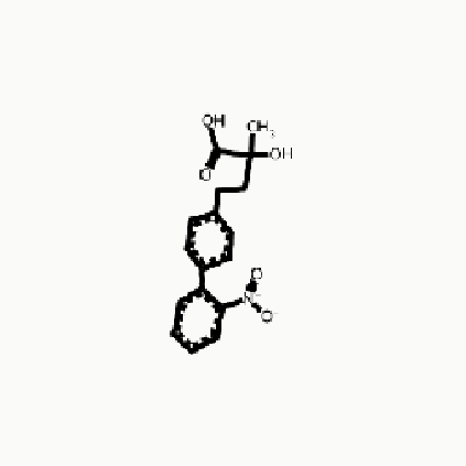 CC(O)(CCc1ccc(-c2ccccc2[N+](=O)[O-])cc1)C(=O)O